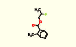 CC(F)COC(=O)C1C2C=CC(C2)C1C